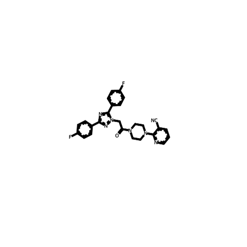 N#Cc1cccnc1N1CCN(C(=O)Cn2nc(-c3ccc(F)cc3)nc2-c2ccc(F)cc2)CC1